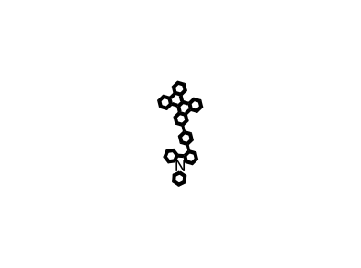 c1ccc(-n2c3ccccc3c3c(-c4ccc(-c5ccc6c(c5)c5ccccc5c5c7ccccc7c7ccccc7c65)cc4)cccc32)cc1